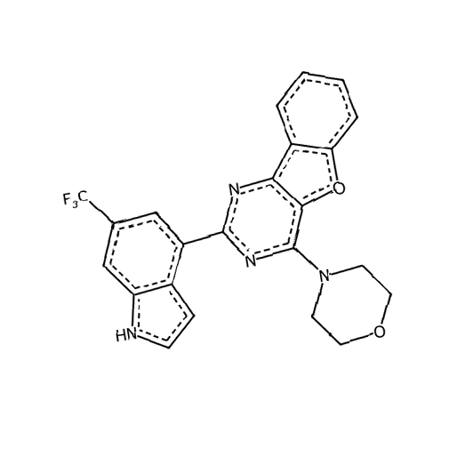 FC(F)(F)c1cc(-c2nc(N3CCOCC3)c3oc4ccccc4c3n2)c2cc[nH]c2c1